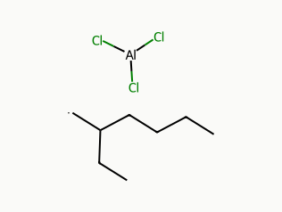 [CH2]C(CC)CCCC.[Cl][Al]([Cl])[Cl]